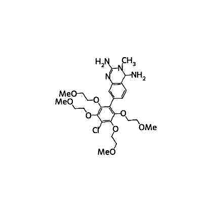 COCCOc1c(Cl)c(OCCOC)c(OCCOC)c(-c2ccc3c(c2)N=C(N)N(C)C3N)c1OCCOC